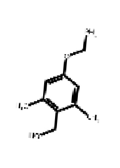 Cc1cc(OCP)cc(C)c1CO